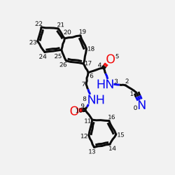 N#CCNC(=O)C(CNC(=O)c1ccccc1)c1ccc2ccccc2c1